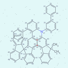 CC1(C)c2ccccc2-c2ccc(N(c3cccc(-c4ccccc4)c3)c3cccc(-c4ccccc4)c3-c3ccc4c(c3)C3(c5ccccc5-c5ccccc53)c3ccccc3-4)cc21